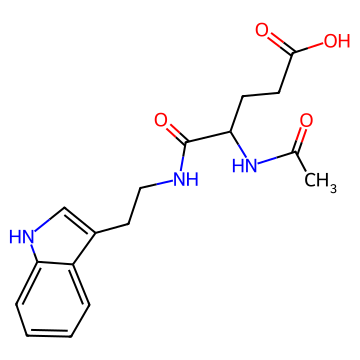 CC(=O)NC(CCC(=O)O)C(=O)NCCc1c[nH]c2ccccc12